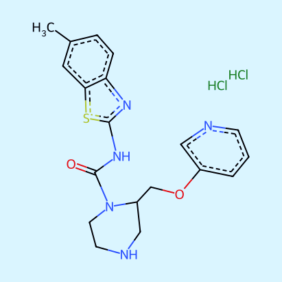 Cc1ccc2nc(NC(=O)N3CCNCC3COc3cccnc3)sc2c1.Cl.Cl